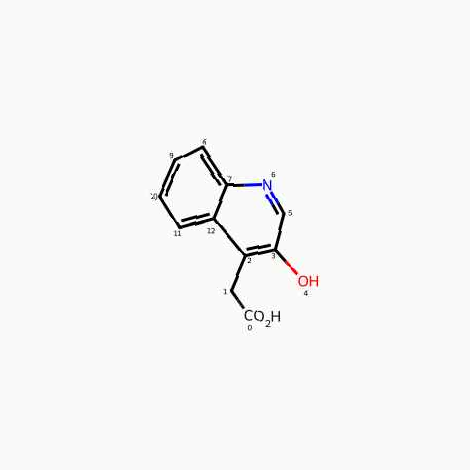 O=C(O)Cc1c(O)cnc2ccccc12